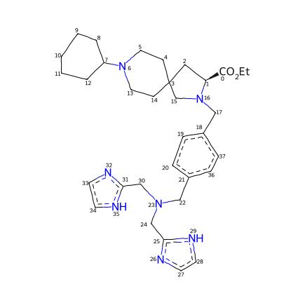 CCOC(=O)[C@@H]1CC2(CCN(C3CCCCC3)CC2)CN1Cc1ccc(CN(Cc2ncc[nH]2)Cc2ncc[nH]2)cc1